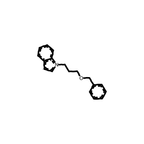 [c]1cn(CCCOCc2ccccc2)c2ccccc12